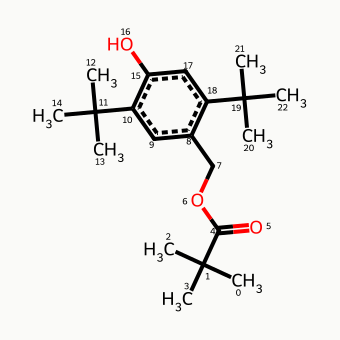 CC(C)(C)C(=O)OCc1cc(C(C)(C)C)c(O)cc1C(C)(C)C